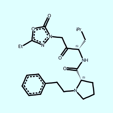 CCc1nn(CC(=O)[C@H](CC(C)C)NC(=O)[C@@H]2CCCN2CCc2ccccc2)c(=O)o1